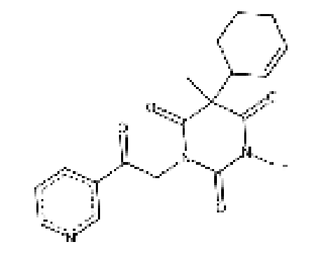 CCN1C(=O)N(CC(=O)c2cccnc2)C(=O)C(C)(C2C=CCCC2)C1=O